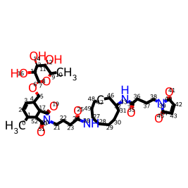 CC1C=CC(CO[C@@H]2OC(C)[C@H](O)[C@H](O)C2O)C2C(=O)N(CCCC(=O)NC3CCCCC(NC(=O)CCCN4C(=O)C=CC4=O)CCCC3)C(=O)C12